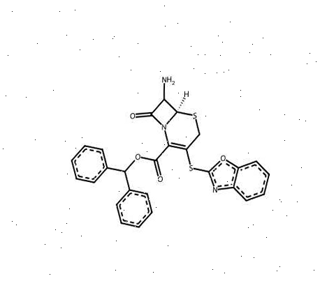 NC1C(=O)N2C(C(=O)OC(c3ccccc3)c3ccccc3)=C(Sc3nc4ccccc4o3)CS[C@H]12